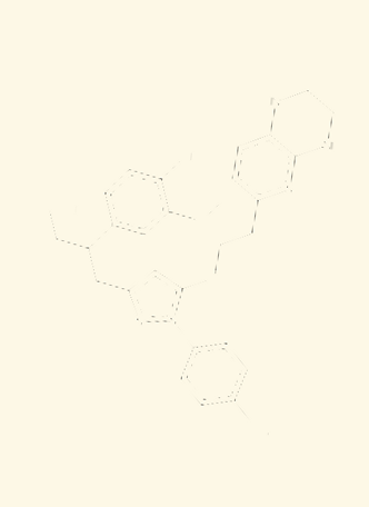 CCOc1cc(C(CC(=O)O)Cc2cc(OCCc3ccc4c(n3)NCCN4)n(-c3ccc(C(F)(F)F)cc3)n2)ccc1C